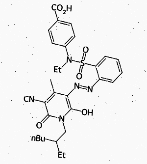 [C-]#[N+]c1c(C)c(/N=N/c2ccccc2S(=O)(=O)N(CC)c2ccc(C(=O)O)cc2)c(O)n(CC(CC)CCCC)c1=O